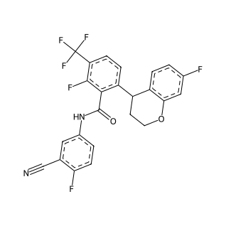 N#Cc1cc(NC(=O)c2c(C3CCOc4cc(F)ccc43)ccc(C(F)(F)F)c2F)ccc1F